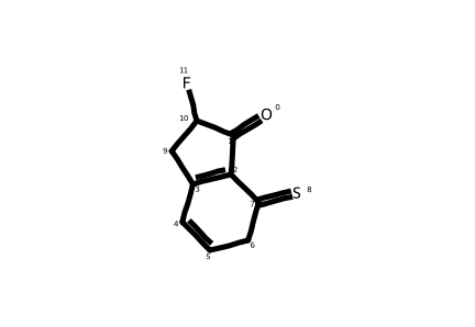 O=C1C2=C(C=CCC2=S)CC1F